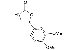 COc1ccc(C2CNC(=O)O2)cc1OC